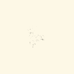 Cc1cc(-c2cnn(CC3(C(F)(F)F)CC3)c2)c(-c2ccn3ccnc3c2)nc1Cl